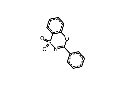 O=S1(=O)N=C(c2ccccc2)Oc2ccccc21